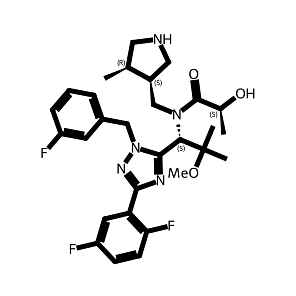 COC(C)(C)[C@H](c1nc(-c2cc(F)ccc2F)nn1Cc1cccc(F)c1)N(C[C@@H]1CNC[C@@H]1C)C(=O)[C@H](C)O